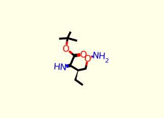 CC[C@H](CON)C(=N)C(=O)OC(C)(C)C